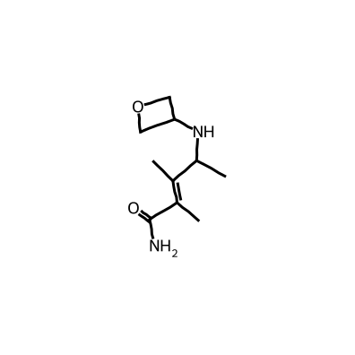 C/C(C(N)=O)=C(/C)C(C)NC1COC1